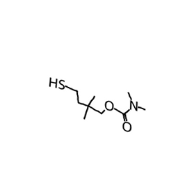 CN(C)C(=O)OCC(C)(C)CCS